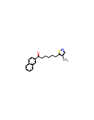 Cc1cnsc1CCCCCC(=O)c1ccc2ccccc2c1